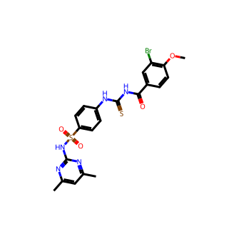 COc1ccc(C(=O)NC(=S)Nc2ccc(S(=O)(=O)Nc3nc(C)cc(C)n3)cc2)cc1Br